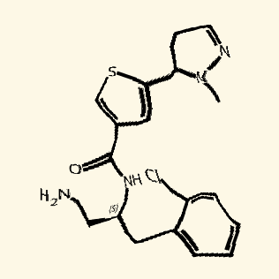 CN1N=CCC1c1cc(C(=O)N[C@H](CN)Cc2ccccc2Cl)cs1